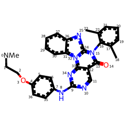 CNCCOc1ccc(Nc2ncc3c(=O)n(-c4c(C)cccc4C)c4nc5ccccc5n4c3n2)cc1